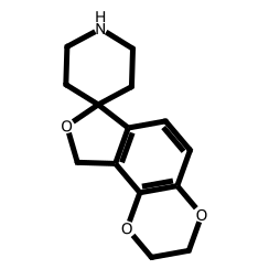 c1cc2c(c3c1OCCO3)COC21CCNCC1